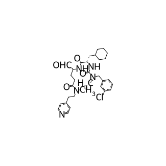 CN(CCc1ccncc1)C(=O)CC[C@@H](C=O)NC(=O)[C@H](CC1CCCCC1)NC(=O)N(C)Cc1cccc(Cl)c1